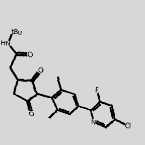 Cc1cc(-c2ncc(Cl)cc2F)cc(C)c1C1C(=O)CC(CC(=O)NC(C)(C)C)C1=O